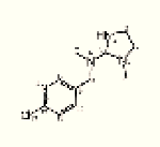 CN1CCNC1N(C)Cc1ccc(Cl)nc1